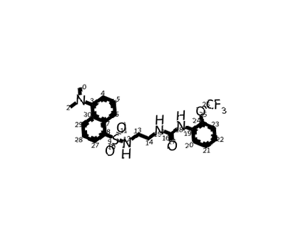 CN(C)c1cccc2c(S(=O)(=O)NCCNC(=O)Nc3ccccc3OC(F)(F)F)cccc12